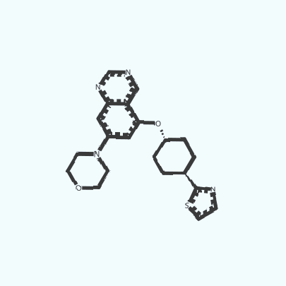 c1ncc2c(O[C@H]3CC[C@H](c4nccs4)CC3)cc(N3CCOCC3)cc2n1